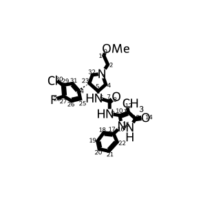 COCCN1C[C@@H](NC(=O)Nc2c(C)c(=O)[nH]n2-c2ccccc2)[C@H](c2ccc(F)c(Cl)c2)C1